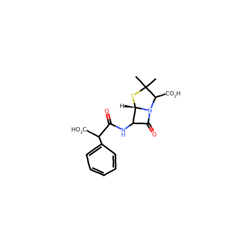 CC1(C)S[C@H]2C(NC(=O)C(C(=O)O)c3ccccc3)C(=O)N2C1C(=O)O